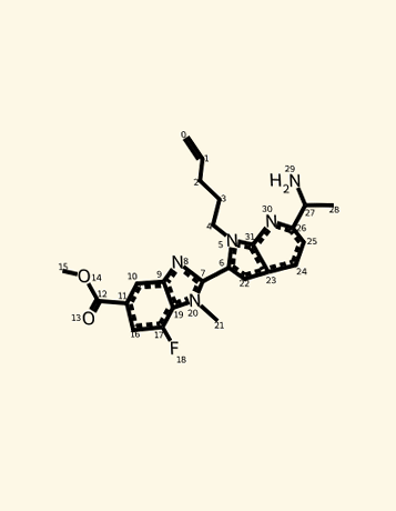 C=CCCCn1c(-c2nc3cc(C(=O)OC)cc(F)c3n2C)cc2ccc(C(C)N)nc21